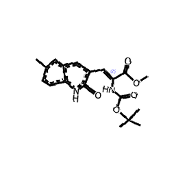 COC(=O)/C(=C/c1cc2cc(C)ccc2[nH]c1=O)NC(=O)OC(C)(C)C